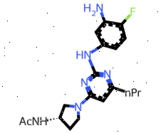 CCCc1cc(N2CC[C@H](NC(C)=O)C2)nc(Nc2ccc(F)c(N)c2)n1